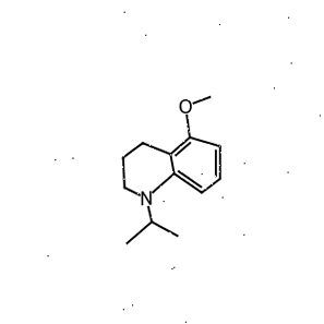 COc1cccc2c1CCCN2C(C)C